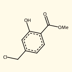 COC(=O)c1ccc(CCl)cc1O